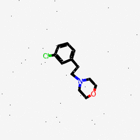 Clc1[c]ccc(CCN2CCOCC2)c1